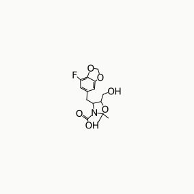 CC1(C)OC(CO)C(Cc2cc(F)c3c(c2)OCO3)N1C(=O)O